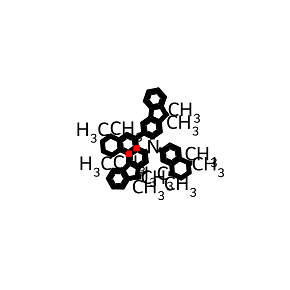 CC1(C)CCC(C)(C)c2cc(-c3cc4c(cc3N(c3ccc5c(c3)C(C)(C)CCC5(C)C)c3ccc5c(c3)C(C)(C)c3ccccc3-5)C(C)(C)c3ccccc3-4)ccc21